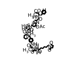 CCP[C@H](NC(=O)[C@H]1CCCC[N+]1(C)Cc1ccc(NC(=O)[C@H](C)NC(=O)[C@@H](NC(=O)CCCCCN2C(=O)C=CC2=O)C(C)C)cc1)C(=O)N(C)[C@H](C[C@@H](OC(C)=O)c1nc(C(=O)N[C@@H](Cc2ccccc2)C[C@H](C)C(=O)O)cs1)C(C)C